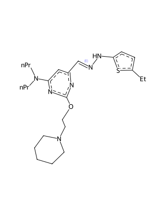 CCCN(CCC)c1cc(/C=N/Nc2ccc(CC)s2)nc(OCCN2CCCCC2)n1